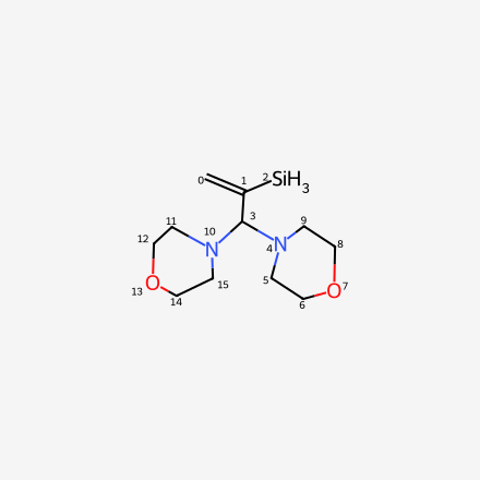 C=C([SiH3])C(N1CCOCC1)N1CCOCC1